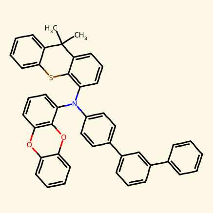 CC1(C)c2ccccc2Sc2c(N(c3ccc(-c4cccc(-c5ccccc5)c4)cc3)c3cccc4c3Oc3ccccc3O4)cccc21